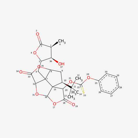 C[C@@H]1C(=O)OC(CC23C4C[C@@H](C(C)(C)C)C25C(OC(=O)C5OC(=S)Oc2ccccc2)OC3C(=O)O4)[C@@H]1O